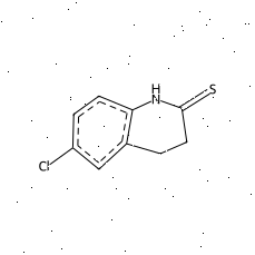 S=C1CCc2cc(Cl)ccc2N1